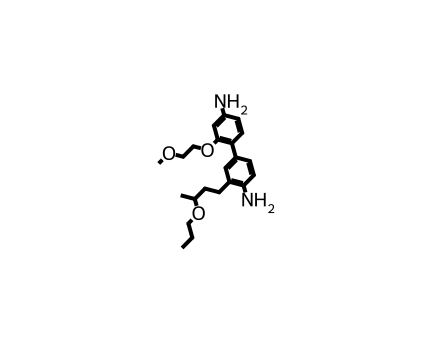 CCCOC(C)CCc1cc(-c2ccc(N)cc2OCCOC)ccc1N